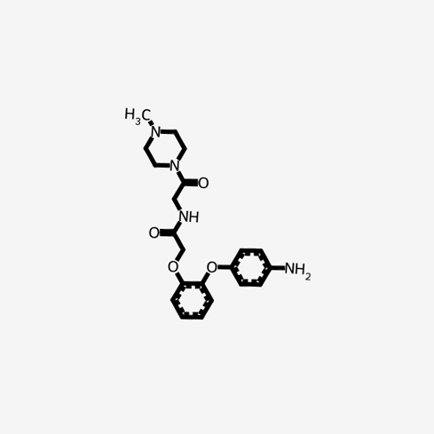 CN1CCN(C(=O)CNC(=O)COc2ccccc2Oc2ccc(N)cc2)CC1